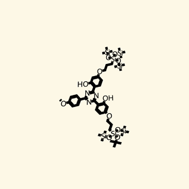 COc1ccc(-c2nc(-c3ccc(OCCC[Si](OC(C)(C)C)(O[Si](C)(C)C)O[Si](C)(C)C)cc3O)nc(-c3ccc(OCCC[Si](O[Si](C)(C)C)(O[Si](C)(C)C)O[Si](C)(C)C)cc3O)n2)cc1